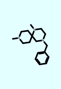 CN1CCC2(CC1)CN(Cc1ccccc1)CCN2C